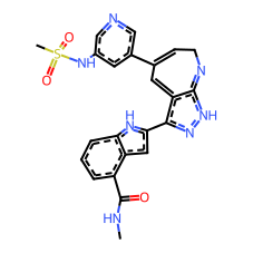 CNC(=O)c1cccc2[nH]c(-c3n[nH]c4c3=CC(c3cncc(NS(C)(=O)=O)c3)=CCN=4)cc12